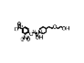 O=[N+]([O-])c1ccc(O/N=[N+](\O)N2CCC(CCOCCO)CC2)c([N+](=O)[O-])c1